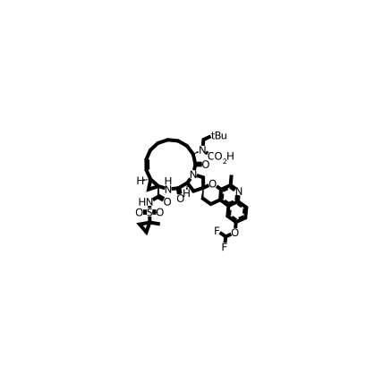 Cc1nc2ccc(OC(F)F)cc2c2c1O[C@]1(CC2)C[C@H]2C(=O)N[C@]3(C(=O)NS(=O)(=O)C4(C)CC4)C[C@H]3/C=C\CCCCC[C@H](N(CC(C)(C)C)C(=O)O)C(=O)N2C1